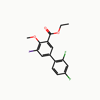 CCOC(=O)c1cc(-c2ccc(F)cc2F)cc(I)c1OC